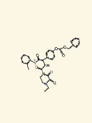 [CH2]c1ccccc1NC(=O)C(NC(=O)N1CCN(CC)C(=O)C1=O)c1ccc(OC(=O)OCc2ccccc2)cc1